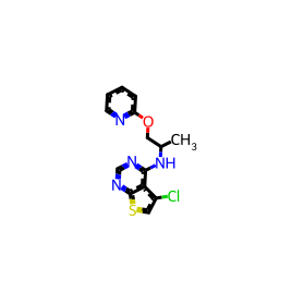 CC(COc1ccccn1)Nc1ncnc2scc(Cl)c12